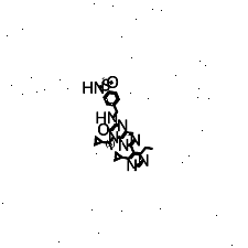 CCc1ncnc(C2CC2)c1-c1ncc2nc(NCc3ccc(S(C)(=N)=O)cc3)c(=O)n([C@@H](C)C3CC3)c2n1